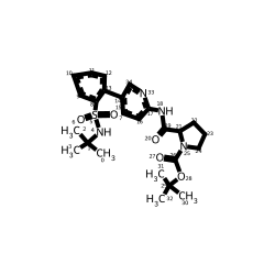 CC(C)(C)NS(=O)(=O)c1ccccc1-c1ccc(NC(=O)C2CCCN2C(=O)OC(C)(C)C)nc1